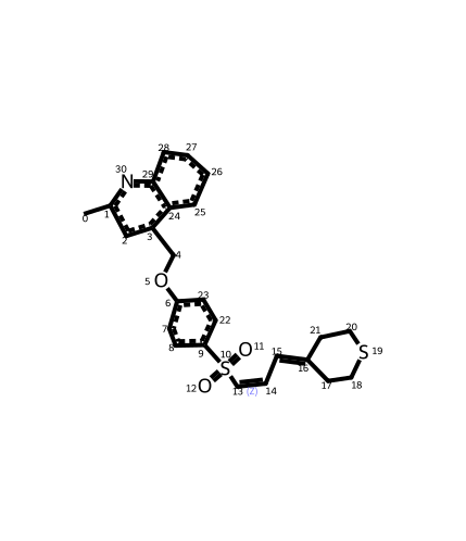 Cc1cc(COc2ccc(S(=O)(=O)/C=C\C=C3CCSCC3)cc2)c2ccccc2n1